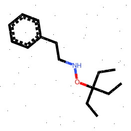 CCC(CC)(CC)ONCCc1ccccc1